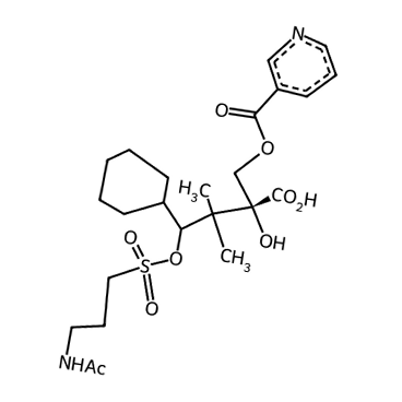 CC(=O)NCCCS(=O)(=O)OC(C1CCCCC1)C(C)(C)[C@@](O)(COC(=O)c1cccnc1)C(=O)O